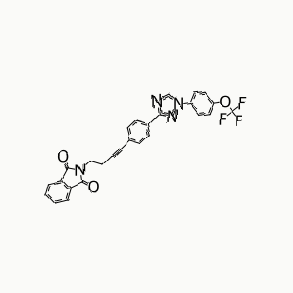 O=C1c2ccccc2C(=O)N1CCC#Cc1ccc(-c2ncn(-c3ccc(OC(F)(F)F)cc3)n2)cc1